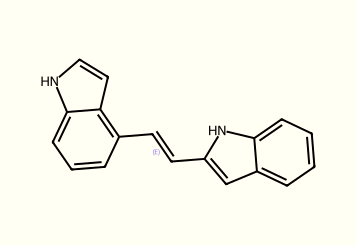 C(=C\c1cccc2[nH]ccc12)/c1cc2ccccc2[nH]1